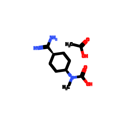 CC(=O)O.CN(C(=O)O)[C@H]1CC[C@H](C(=N)N)CC1